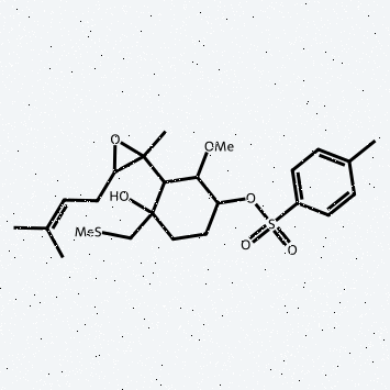 COC1C(OS(=O)(=O)c2ccc(C)cc2)CCC(O)(CSC)C1C1(C)OC1CC=C(C)C